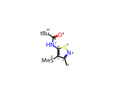 CSc1c(C)nsc1NC(=O)C(C)(C)C